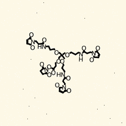 O=C(CCN1C(=O)C=CC1=O)NCCCOCC(COCCCNC(=O)CCN1C(=O)C=CC1=O)(COCCCNC(=O)CCN1C(=O)C=CC1=O)COCCC(=O)ON1C(=O)CCC1=O